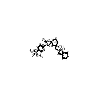 C[C@]1(Cn2cc3ccncc3n2)CCC[C@@]2(CN(c3ccc(P(C)(C)=S)cn3)C(=O)O2)C1